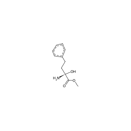 COC(=O)[C@@](N)(O)CCc1ccccc1